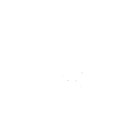 CC1(C)CCC[C@@]2(C)C1C=C[C@]1(C)OCC[C@H]21